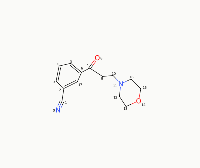 N#Cc1cccc(C(=O)CCN2CCOCC2)c1